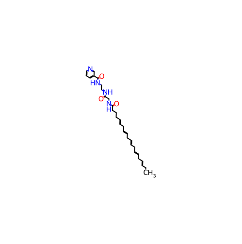 CCC=CCC=CCC=CCC=CCC=CCCCC(=O)NCC(=O)NCCNC(=O)c1cccnc1